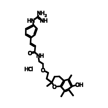 Cc1c(C)c2c(c(C)c1O)CCC(C)(CCOCCNC(=O)C=Cc1ccc(NC(=N)N)cc1)O2.Cl